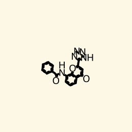 O=C(Nc1cccc2c(=O)cc(-c3nnn[nH]3)oc12)c1ccccc1